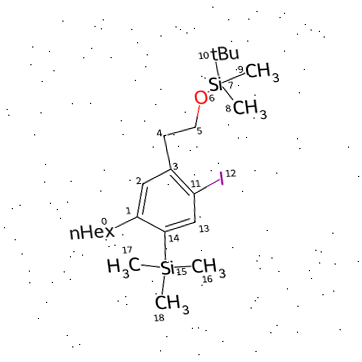 CCCCCCc1cc(CCO[Si](C)(C)C(C)(C)C)c(I)cc1[Si](C)(C)C